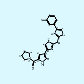 Cc1cccc(-c2csc(Cc3nc(-c4c[nH]c(C(=O)N5CCCC5)c4)cs3)n2)c1